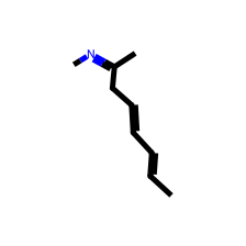 C/C=C/C=C/C/C(C)=N\C